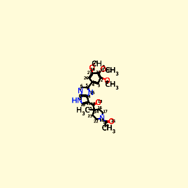 COc1cc(-c2cnc3[nH]cc(C(=O)C4(C)CCN(C(C)=O)CC4)c3n2)cc(OC)c1OC